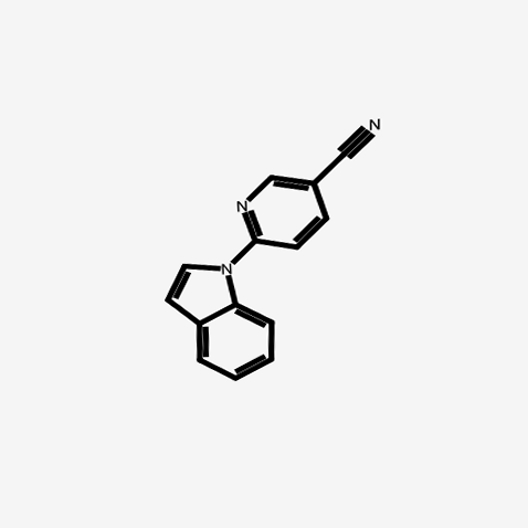 N#Cc1ccc(-n2ccc3ccccc32)nc1